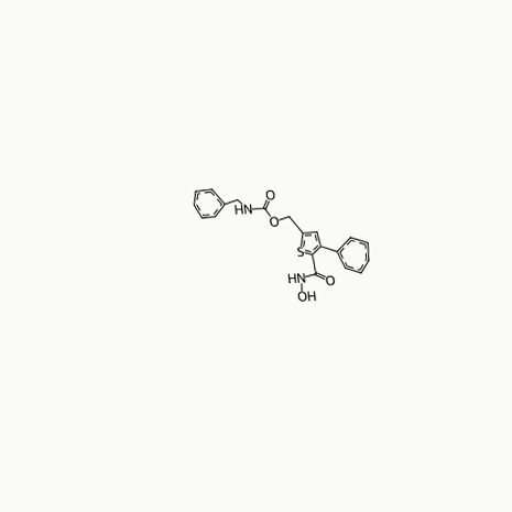 O=C(NCc1ccccc1)OCc1cc(-c2ccccc2)c(C(=O)NO)s1